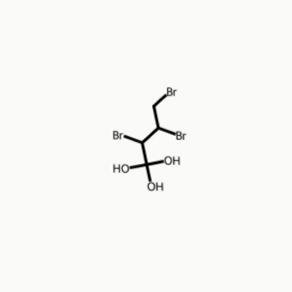 OC(O)(O)C(Br)C(Br)CBr